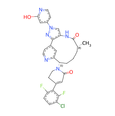 C[C@@H]1CCC[C@H](N2CCC(c3c(F)ccc(Cl)c3F)=CC2=O)c2cc(ccn2)-c2nn(-c3ccnc(O)c3)cc2NC1=O